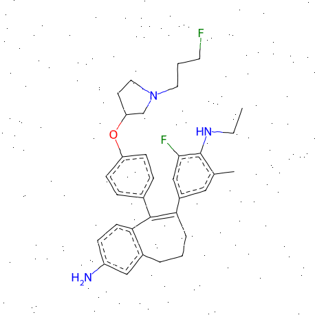 CCNc1c(C)cc(C2=C(c3ccc(OC4CCN(CCCF)C4)cc3)c3ccc(N)cc3CCC2)cc1F